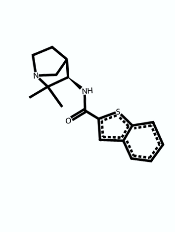 CC1(C)[C@H](NC(=O)c2cc3ccccc3s2)C2CCN1C2